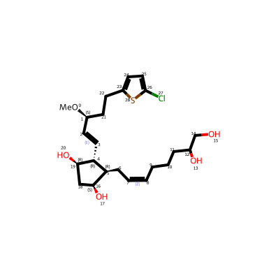 CO[C@H](/C=C/[C@@H]1[C@@H](C/C=C\CCCC(O)CO)[C@@H](O)C[C@H]1O)CCc1ccc(Cl)s1